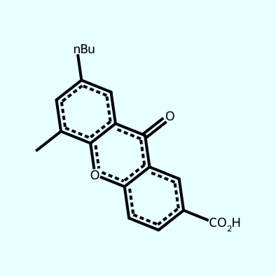 CCCCc1cc(C)c2oc3ccc(C(=O)O)cc3c(=O)c2c1